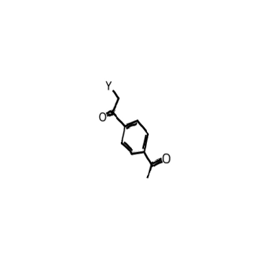 CC(=O)c1ccc(C(=O)[CH2][Y])cc1